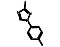 Cc1ccc(-n2cnc(C)n2)cc1